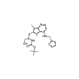 Cc1c(C[C@H](CO)NC(=O)OC(C)(C)C)sc2c(NCc3cccs3)cnnc12